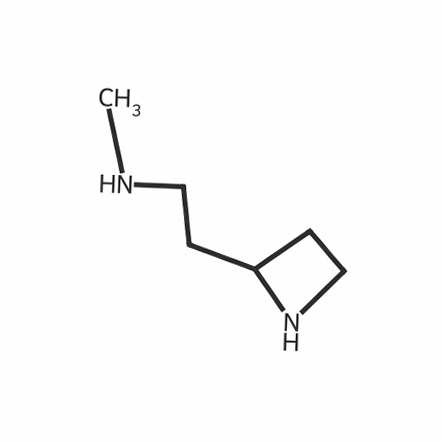 CNCCC1CCN1